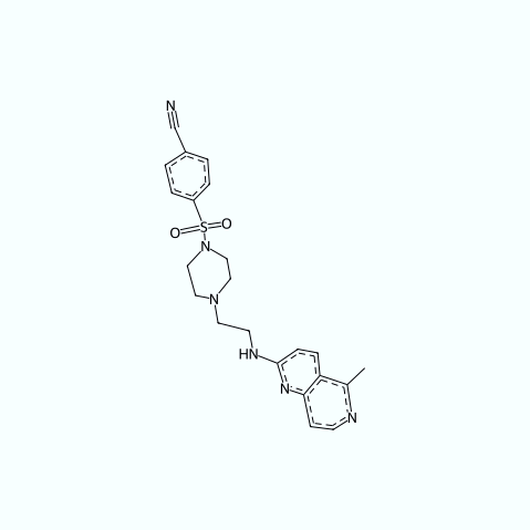 Cc1nccc2nc(NCCN3CCN(S(=O)(=O)c4ccc(C#N)cc4)CC3)ccc12